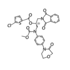 COC(=O)N(C[C@H](CN1C(=O)c2ccccc2C1=O)OC(=O)c1ccc(Cl)s1)c1ccc(N2CCOCC2=O)cc1